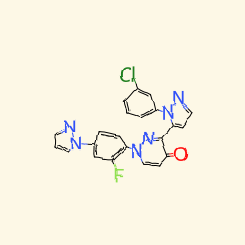 O=c1ccn(-c2ccc(-n3cccn3)cc2F)nc1-c1ccnn1-c1cccc(Cl)c1